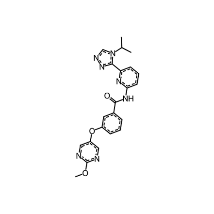 COc1ncc(Oc2cccc(C(=O)Nc3cccc(-c4nncn4C(C)C)n3)c2)cn1